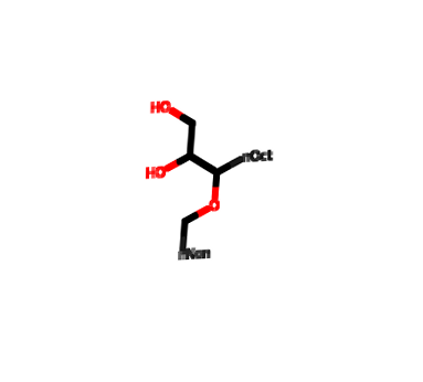 CCCCCCCCCCOC(CCCCCCCC)C(O)CO